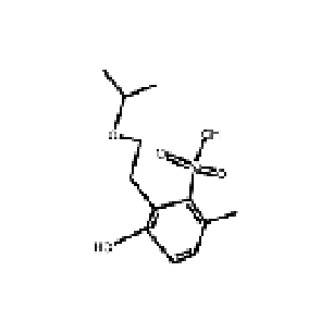 Cc1ccc(O)c(CCOC(C)C)c1S(=O)(=O)O